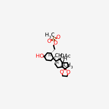 CC(=O)O[C@@H]1[C@@H]([C@@]2(C)CC[C@H](O)C[C@@H]2CCOS(C)(=O)=O)CC[C@@]2(C)[C@H]1CCC21OCCO1